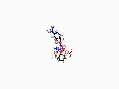 CC(C)Oc1cccc(Cl)c1S(=O)(=O)NC(=O)c1cc2ccc(N(C)C)cc2o1